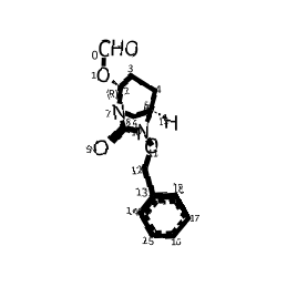 O=CO[C@@H]1CC[C@@H]2CN1C(=O)N2OCc1ccccc1